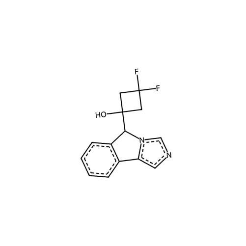 OC1(C2c3ccccc3-c3cncn32)CC(F)(F)C1